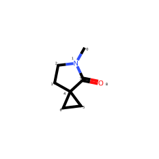 CN1CCC2(CC2)C1=O